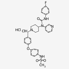 CS(=O)(=O)Nc1ccc(Oc2ccc(CN3CCC(N(C(=O)Nc4ccc(F)cc4)c4cccnc4)CC3)cc2)cc1.Cl.Cl